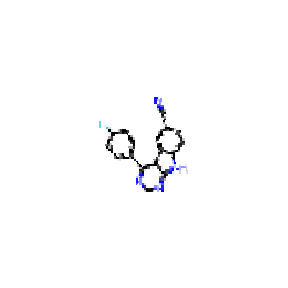 N#Cc1ccc2[nH]c3ncnc(-c4ccc(F)cc4)c3c2c1